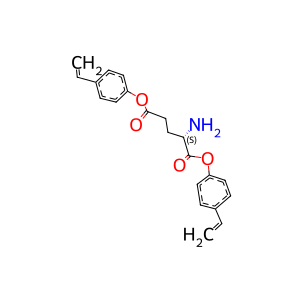 C=Cc1ccc(OC(=O)CC[C@H](N)C(=O)Oc2ccc(C=C)cc2)cc1